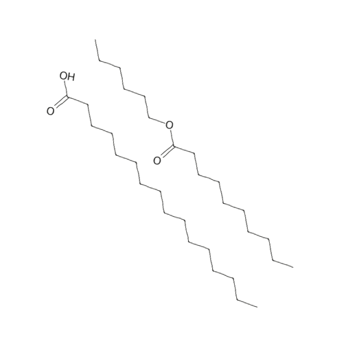 CCCCCCCCCC(=O)OCCCCCC.CCCCCCCCCCCCCCCC(=O)O